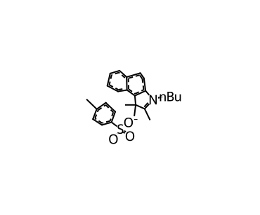 CCCC[N+]1=C(C)C(C)(C)c2c1ccc1ccccc21.Cc1ccc(S(=O)(=O)[O-])cc1